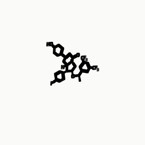 C[C@@H](O[C@H]1CN2C(=O)C=C(C3=CCC(O)CC3)C[C@H]2[C@@H]1c1ccc(F)cc1)c1cc(C(F)(F)F)cc(C(F)(F)F)c1